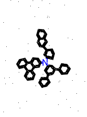 c1ccc(-c2cc(-c3ccccc3)cc(N(c3cccc(-c4ccc5ccccc5c4)c3)c3ccc4c5ccccc5c5ccccc5c4c3)c2)cc1